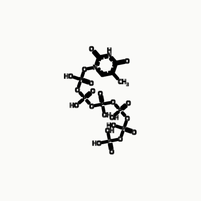 Cc1cn(OP(=O)(O)OP(=O)(O)OP(=O)(O)OP(=O)(O)OP(=O)(O)OP(=O)(O)O)c(=O)[nH]c1=O